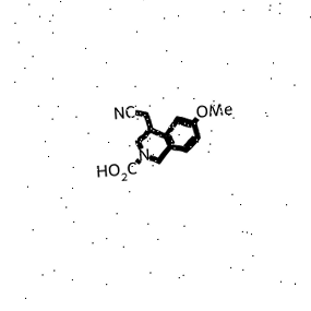 COc1ccc2c(c1)C(CC#N)CN(C(=O)O)C2